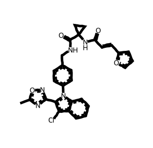 Cc1nc(-c2c(Cl)c3ccccc3n2-c2ccc(CNC(=O)C3(NC(=O)/C=C/c4ccco4)CC3)cc2)no1